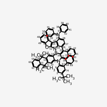 CC(C)(C)c1ccc(N2c3cc4c(cc3B3c5c2cc2ccccc2c5-c2ccc(N(c5ccccc5)c5ccccc5)c5c6c7ccccc7oc6n3c25)C(C)(C)c2ccccc2C4(C)C)c(-c2ccccc2)c1